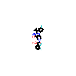 O=C([C@H](O)c1cccc(F)c1F)N1CCc2nc(C3(c4cccc(F)c4)CC3)[nH]c(=O)c2C1